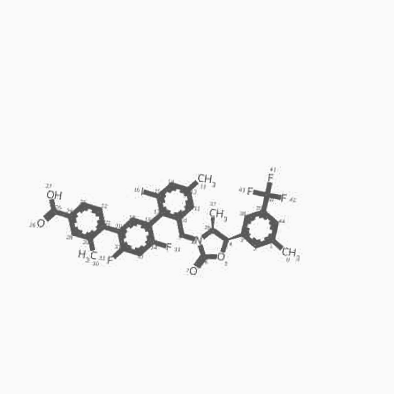 Cc1cc([C@H]2OC(=O)N(Cc3cc(C)cc(I)c3-c3cc(-c4ccc(C(=O)O)cc4C)c(F)cc3F)[C@H]2C)cc(C(F)(F)F)c1